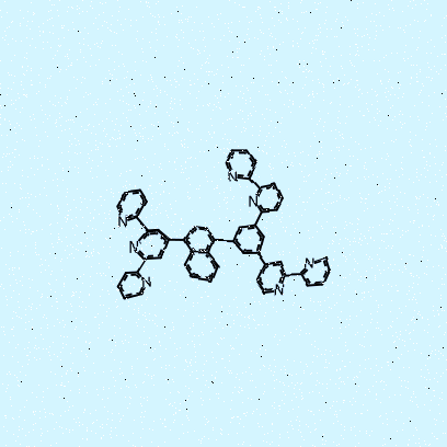 c1ccc(-c2cc(-c3cc(-c4cccc(-c5ccccn5)n4)cc(-c4ccc(-c5cc(-c6ccccn6)nc(-c6ccccn6)c5)c5ccccc45)c3)ccn2)nc1